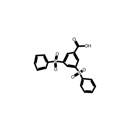 O=C(O)c1cc(S(=O)(=O)c2ccccc2)cc(S(=O)(=O)c2ccccc2)c1